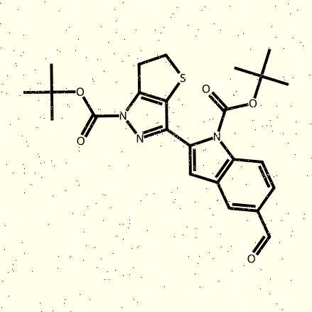 CC(C)(C)OC(=O)n1nc(-c2cc3cc(C=O)ccc3n2C(=O)OC(C)(C)C)c2c1CCS2